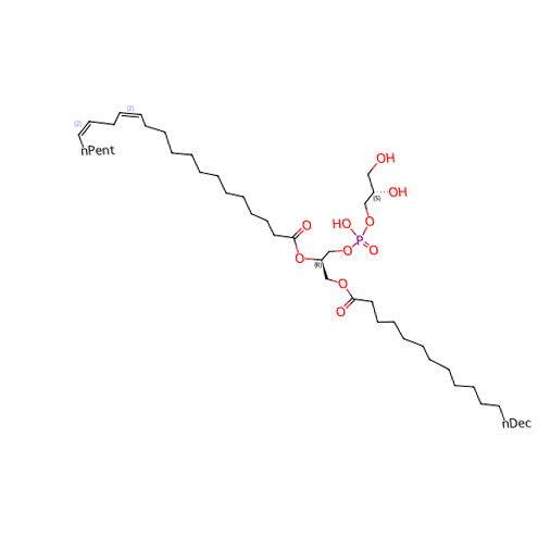 CCCCC/C=C\C/C=C\CCCCCCCCCCCC(=O)O[C@H](COC(=O)CCCCCCCCCCCCCCCCCCCCC)COP(=O)(O)OC[C@@H](O)CO